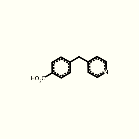 O=C(O)c1ccc(Cc2ccncc2)cc1